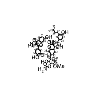 CO[C@@H]1[C@@H](OC(N)=O)[C@@H](O)[C@H](Oc2ccc3c(O)c(NC(=O)c4ccc(O)c(CC=C(C)C)c4)c(=O)oc3c2C)OC1(C)C.O=c1c(O)c(-c2ccc(O)c(O)c2)oc2cc(O)ccc12.[NaH]